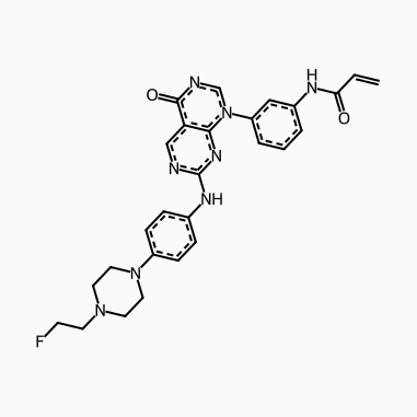 C=CC(=O)Nc1cccc(-n2cnc(=O)c3cnc(Nc4ccc(N5CCN(CCF)CC5)cc4)nc32)c1